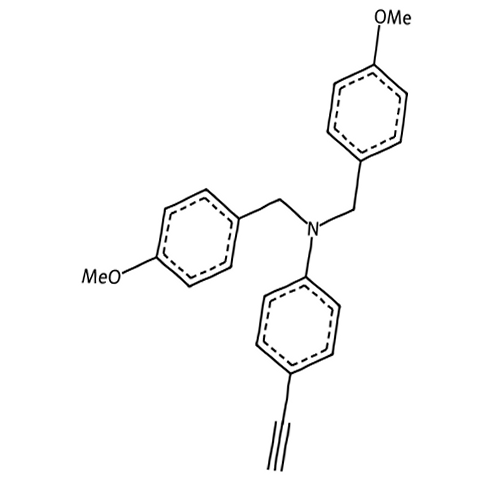 C#Cc1ccc(N(Cc2ccc(OC)cc2)Cc2ccc(OC)cc2)cc1